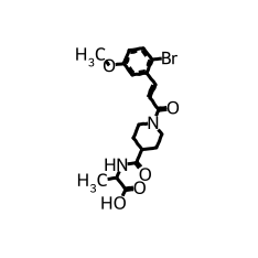 COc1ccc(Br)c(/C=C/C(=O)N2CCC(C(=O)NC(C)C(=O)O)CC2)c1